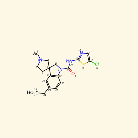 CC(=O)N1CCC2(C1)CN(C(=O)Nc1ncc(Cl)s1)c1ccc(CC(=O)O)cc12